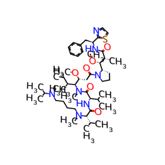 CC[C@H](C)[C@@H]([C@@H](CC(=O)N1CCC[C@H]1[C@H](OC)[C@@H](C)C(=O)N[C@@H](Cc1ccccc1)c1nccs1)OC)N(C)C(=O)[C@@H](NC(=O)[C@H](C(C)C)N(C)CCCCN(C)C(C)C)C(C)C